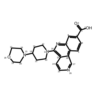 O=C(O)c1ccc2c(c1)nc(N1CCC(N3CCOCC3)CC1)c1ccncc12